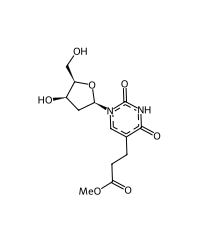 COC(=O)CCc1cn([C@H]2C[C@@H](O)[C@@H](CO)O2)c(=O)[nH]c1=O